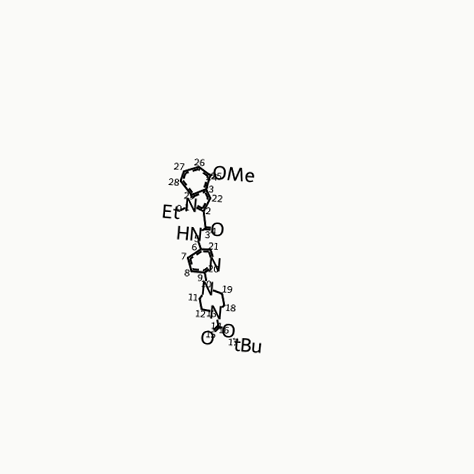 CCn1c(C(=O)Nc2ccc(N3CCN(C(=O)OC(C)(C)C)CC3)nc2)cc2c(OC)cccc21